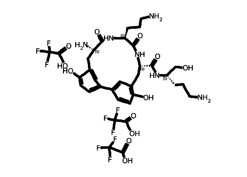 NCCC[C@@H](CO)NC(=O)[C@@H]1Cc2cc(ccc2O)-c2ccc(O)c(c2)C[C@H](N)C(=O)N[C@@H](CCCN)C(=O)N1.O=C(O)C(F)(F)F.O=C(O)C(F)(F)F.O=C(O)C(F)(F)F